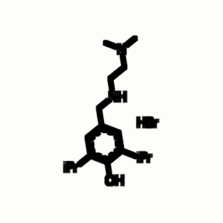 Br.CC(C)c1cc(CNCCN(C)C)cc(C(C)C)c1O